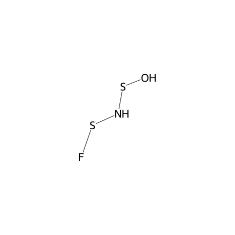 OSNSF